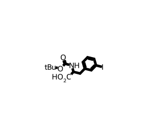 CC(C)(C)OC(=O)NC(Cc1cccc(I)c1)C(=O)O